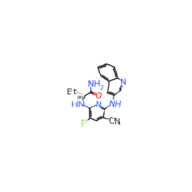 CC[C@@H](Nc1nc(Nc2cnc3ccccc3c2)c(C#N)cc1F)C(N)=O